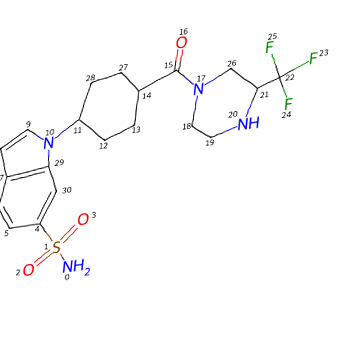 NS(=O)(=O)c1ccc2ccn(C3CCC(C(=O)N4CCNC(C(F)(F)F)C4)CC3)c2c1